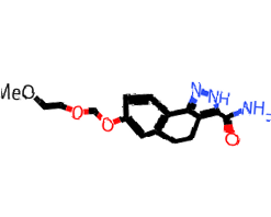 COCCOCOc1ccc2c(c1)CCc1c-2n[nH]c1C(N)=O